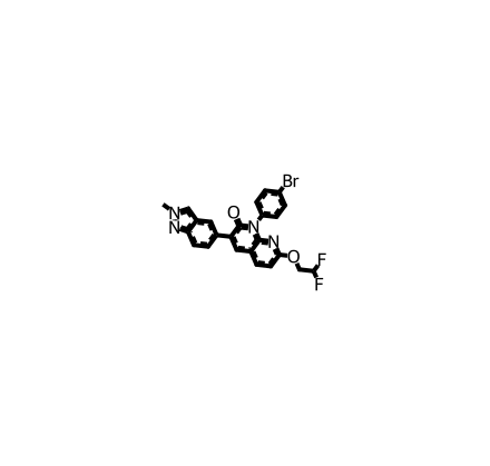 Cn1cc2cc(-c3cc4ccc(OCC(F)F)nc4n(-c4ccc(Br)cc4)c3=O)ccc2n1